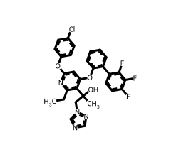 CCc1nc(Oc2ccc(Cl)cc2)cc(Oc2ccccc2-c2ccc(F)c(F)c2F)c1C(C)(O)Cn1cncn1